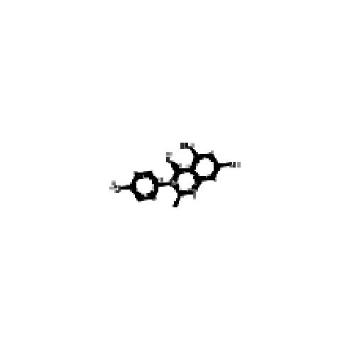 Cc1nc2cc(O)cc(O)c2c(=O)n1-c1ccc(O)cc1